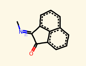 C/N=C1/C(=O)c2cccc3cccc1c23